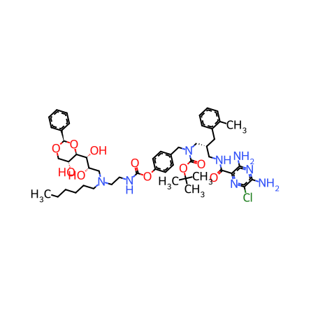 CCCCCCN(CCNC(=O)Oc1ccc(CN(C[C@@H](CNC(=O)c2nc(Cl)c(N)nc2N)Cc2ccccc2C)C(=O)OC(C)(C)C)cc1)C[C@H](O)[C@@H](O)[C@@H]1O[C@H](c2ccccc2)OC[C@H]1O